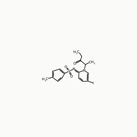 CCC(=O)C(C)n1cc(I)ccc1=NS(=O)(=O)c1ccc(C)cc1